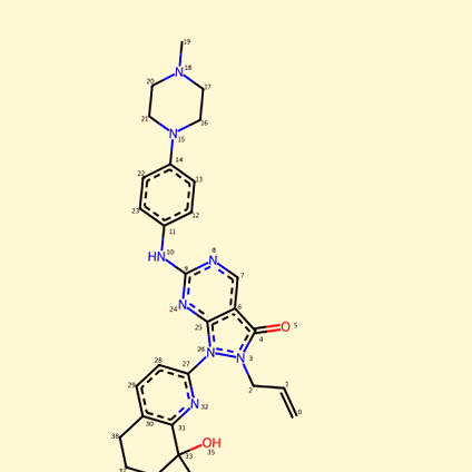 C=CCn1c(=O)c2cnc(Nc3ccc(N4CCN(C)CC4)cc3)nc2n1-c1ccc2c(n1)C(C)(O)CCC2